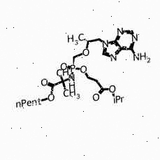 CCCCCOC(=O)C(C)(C)N[P@@](=O)(CO[C@H](C)Cn1cnc2c(N)ncnc21)OCCC(=O)OC(C)C